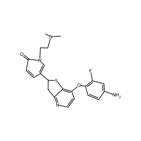 CN(C)CCn1cc(C2Cc3nccc(Oc4ccc(N)cc4F)c3S2)ccc1=O